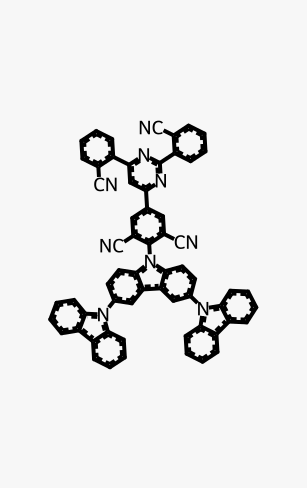 N#Cc1ccccc1-c1cc(-c2cc(C#N)c(-n3c4ccc(-n5c6ccccc6c6ccccc65)cc4c4cc(-n5c6ccccc6c6ccccc65)ccc43)c(C#N)c2)nc(-c2ccccc2C#N)n1